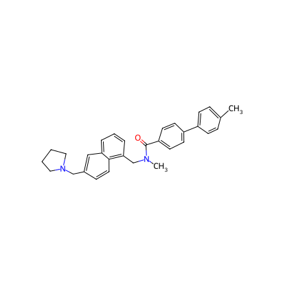 Cc1ccc(-c2ccc(C(=O)N(C)Cc3cccc4cc(CN5CCCC5)ccc34)cc2)cc1